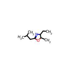 CCC1N=C(CC(C)C)OC1C